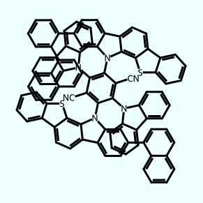 N#Cc1c(-n2c3ccccc3c3ccccc32)c(-n2c3cc(-c4cccc5ccccc45)ccc3c3ccc4c5ccccc5sc4c32)c(C#N)c(-n2c3ccccc3c3ccccc32)c1-n1c2cc(-c3ccccc3-c3cccc4ccccc34)ccc2c2ccc3c4ccccc4sc3c21